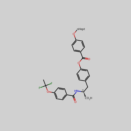 CCCCCCCOc1ccc(C(=O)Oc2ccc(C[C@H](NC(=O)c3ccc(OC(C)(F)F)cc3)C(=O)O)cc2)cc1